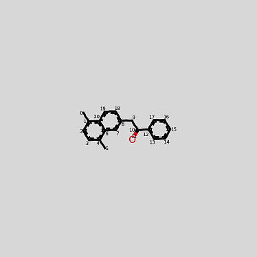 Cc1ccc(C)c2cc(CC(=O)c3ccccc3)ccc12